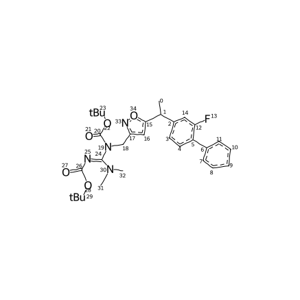 CC(c1ccc(-c2ccccc2)c(F)c1)c1cc(CN(C(=O)OC(C)(C)C)C(=NC(=O)OC(C)(C)C)N(C)C)no1